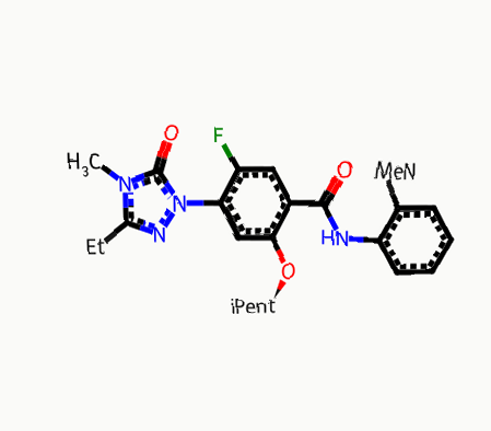 CCC[C@H](C)Oc1cc(-n2nc(CC)n(C)c2=O)c(F)cc1C(=O)Nc1ccccc1NC